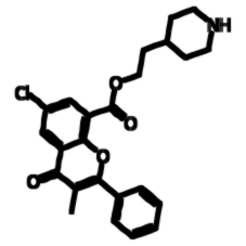 Cc1c(-c2ccccc2)oc2c(C(=O)OCCC3CCNCC3)cc(Cl)cc2c1=O